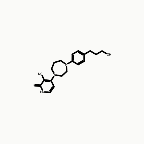 N#Cc1c(N2CCCN(c3ccc(CCCO)cc3)CC2)cc[nH]c1=S